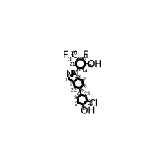 Oc1ccc(-c2ccc3c(cnn3-c3cc(O)c(F)c(C(F)(F)F)c3)c2)cc1Cl